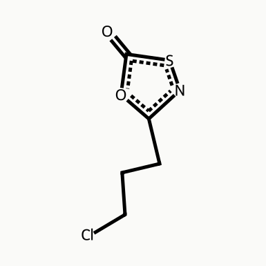 O=c1oc(CCCCl)ns1